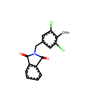 COc1c(Cl)cc(CN2C(=O)c3ccccc3C2=O)cc1Cl